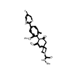 COc1cc(-c2ncc(F)cn2)cc(C)c1C1C(=O)CC2(CC1=O)CN(C(=O)NC(C)(C)C)C2